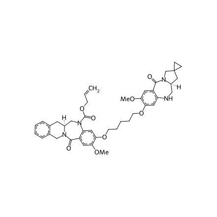 C=CCOC(=O)N1C[C@@H]2Cc3ccccc3CN2C(=O)c2cc(OC)c(OCCCCCOc3cc4c(cc3OC)C(=O)N3CC5(CC5)C[C@H]3CN4)cc21